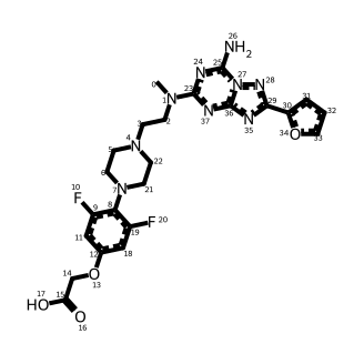 CN(CCN1CCN(c2c(F)cc(OCC(=O)O)cc2F)CC1)c1nc(N)n2nc(-c3ccco3)nc2n1